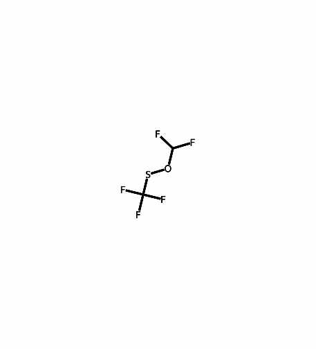 FC(F)OSC(F)(F)F